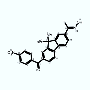 CCCC1(CCC)c2cc(C(=O)c3ccc([N+](=O)[O-])cc3)ccc2-c2ccc(/C(C)=N/O)cc21